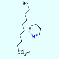 CC(C)CCCCCCCCS(=O)(=O)O.c1ccncc1